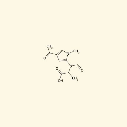 CC(=O)c1cc(N(C=O)C(C)C(=O)O)n(C)c1